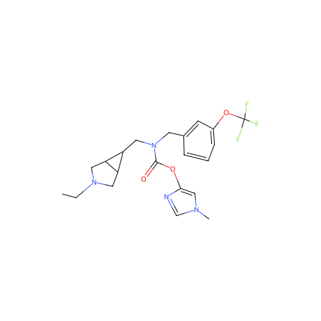 CCN1CC2C(C1)C2CN(Cc1cccc(OC(F)(F)F)c1)C(=O)Oc1cn(C)cn1